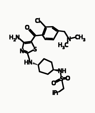 CC(C)CS(=O)(=O)N[C@H]1CC[C@H](Nc2nc(N)c(C(=O)c3ccc(CN(C)C)cc3Cl)s2)CC1